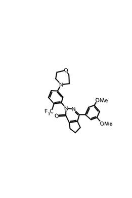 COc1cc(OC)cc(-c2nn(-c3cc(N4CCOCC4)ccc3C(F)(F)F)c(=O)c3c2CCC3)c1